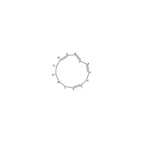 [CH]1C/C=C\C\C=C/C=C/C=C\CC1